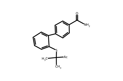 CC(=O)C(C)(C)Sc1ccccc1-c1ccc(C(N)=O)cc1